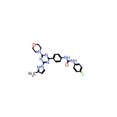 Cc1ccn(-c2nc(-c3ccc(NC(=O)Nc4ccc(F)cc4)cc3)nc(N3CCOCC3)n2)n1